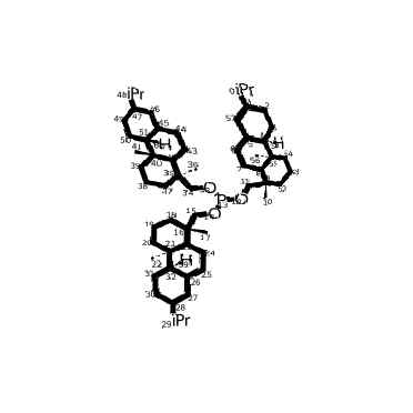 CC(C)C1CC[C@@H]2C(CCC3[C@@](C)(COP(OC[C@@]4(C)CCC[C@@]5(C)C4CCC4CC(C(C)C)CC[C@H]45)OC[C@@]4(C)CCC[C@@]5(C)C4CCC4CC(C(C)C)CC[C@H]45)CCC[C@@]32C)C1